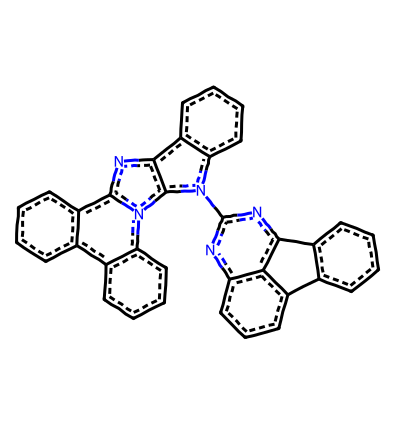 c1ccc2c(c1)-c1cccc3nc(-n4c5ccccc5c5nc6c7ccccc7c7ccccc7n6c54)nc-2c13